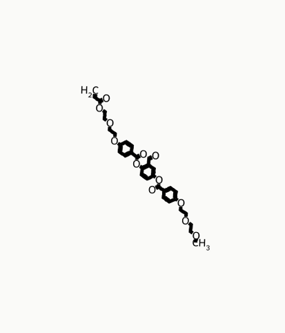 C=CC(=O)OCCOCCOc1ccc(C(=O)Oc2ccc(OC(=O)c3ccc(OCCOCCOC)cc3)cc2C=O)cc1